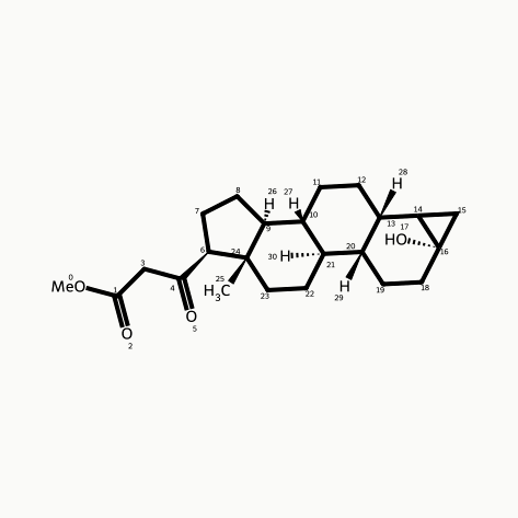 COC(=O)CC(=O)[C@H]1CC[C@H]2[C@@H]3CC[C@@H]4C5C[C@@]5(O)CC[C@@H]4[C@H]3CC[C@]12C